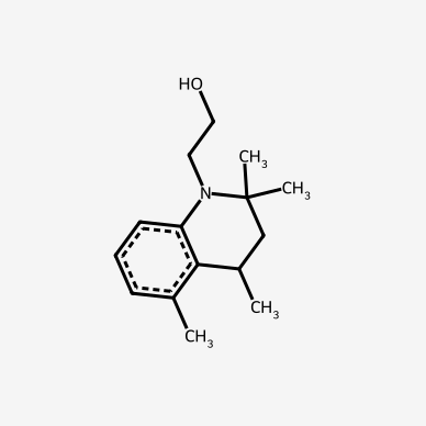 Cc1cccc2c1C(C)CC(C)(C)N2CCO